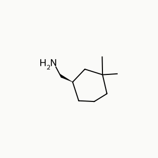 CC1(C)CCC[C@@H](CN)C1